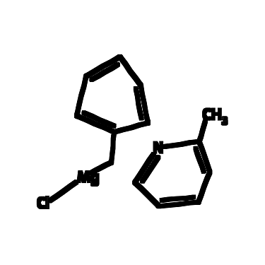 Cc1ccccn1.[Cl][Mg][CH2]c1ccccc1